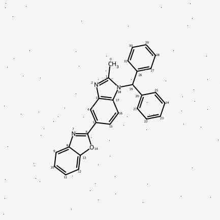 Cc1nc2cc(-c3nc4ccccc4o3)ccc2n1C(c1ccccc1)c1ccccc1